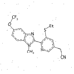 CCSc1cc(CC#N)cnc1-c1nc2cc(OC(F)(F)F)ccc2n1C